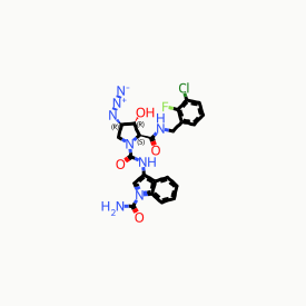 [N-]=[N+]=N[C@@H]1CN(C(=O)Nc2cn(C(N)=O)c3ccccc23)[C@H](C(=O)NCc2cccc(Cl)c2F)[C@H]1O